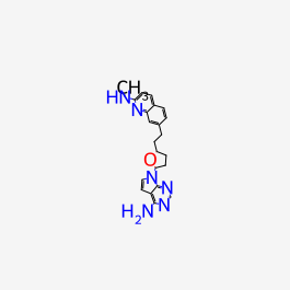 CNc1ccc2ccc(CCC3CCC(n4ccc5c(N)ncnc54)O3)cc2n1